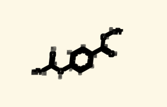 CCCOC(=O)c1ccc(OC(=O)CCC)cc1